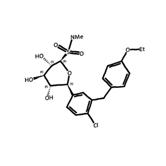 CCOc1ccc(Cc2cc([C@@H]3O[C@H](S(=O)(=O)NC)[C@@H](O)[C@H](O)[C@H]3O)ccc2Cl)cc1